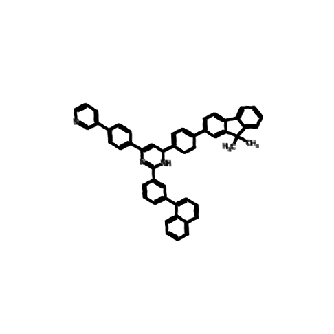 CC1(C)c2ccccc2-c2ccc(C3=CC=C(C4C=C(c5ccc(-c6cccnc6)cc5)N=C(c5cccc(-c6cccc7ccccc67)c5)N4)CC3)cc21